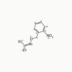 CCC(CC)=NOCc1ccccc1[N+](=O)[O-]